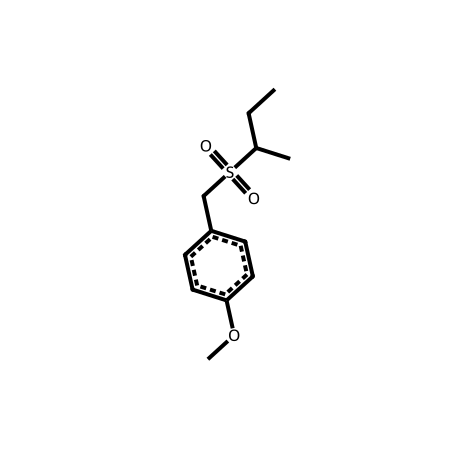 CCC(C)S(=O)(=O)Cc1ccc(OC)cc1